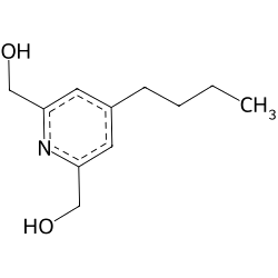 CCCCc1cc(CO)nc(CO)c1